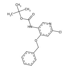 CC(C)(C)OC(=O)Nc1cnc(Cl)cc1OCc1ccccc1